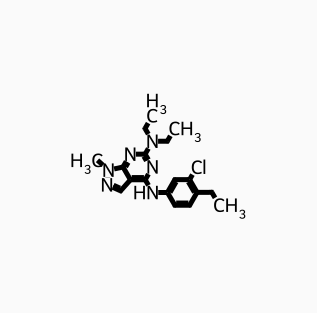 CCc1ccc(Nc2nc(N(CC)CC)nc3c2cnn3C)cc1Cl